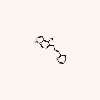 Oc1c(C/C=C/c2ccccc2)ccc2[nH]ccc12